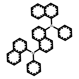 c1ccc([As](c2cccc3ccccc23)c2cccc3c([As](c4ccccc4)c4cccc5ccccc45)cccc23)cc1